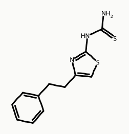 NC(=S)Nc1nc(CCc2ccccc2)cs1